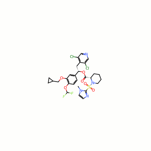 Cn1ccnc1S(=O)(=O)N1CCCC[C@H]1C(=O)O[C@@H](Cc1c(Cl)cncc1Cl)c1ccc(OC(F)F)c(OCC2CC2)c1